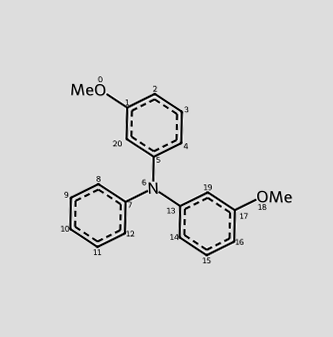 COc1cccc(N(c2ccccc2)c2cccc(OC)c2)c1